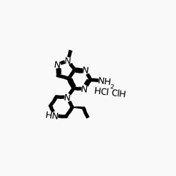 CC[C@H]1CNCCN1c1nc(N)nc2c1cnn2C.Cl.Cl